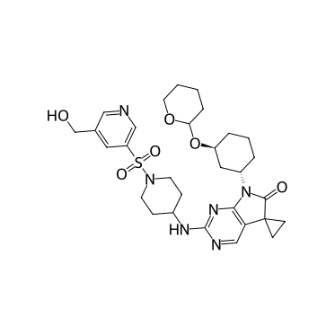 O=C1N([C@H]2CCC[C@H](OC3CCCCO3)C2)c2nc(NC3CCN(S(=O)(=O)c4cncc(CO)c4)CC3)ncc2C12CC2